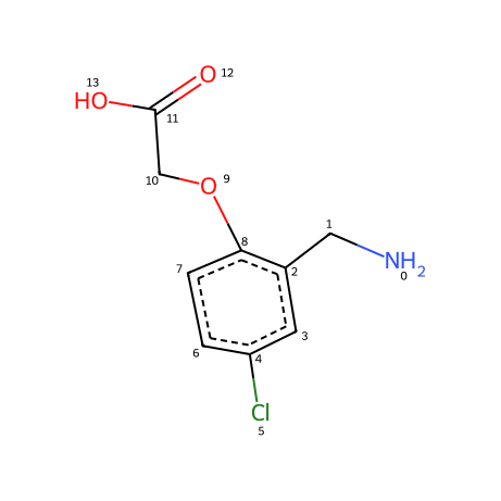 NCc1cc(Cl)ccc1OCC(=O)O